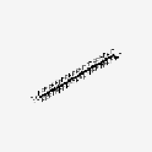 F/[C]=C(\F)C(F)(F)C(F)(F)C(F)(F)C(F)(F)C(F)(F)C(F)(F)C(F)(F)C(F)(F)C(F)(F)C(F)(F)C(F)(F)C(F)(F)C(F)(F)C(F)(F)C(F)(F)C(F)(F)C(F)(F)C(F)(F)C(F)(F)C(F)(F)C(F)(F)C(F)(F)F